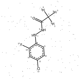 [2H]C([2H])([2H])C(=O)NNc1ccc(Cl)cc1F